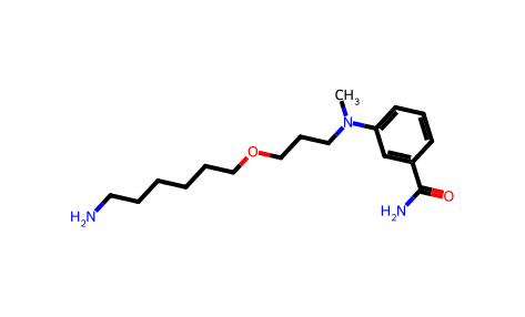 CN(CCCOCCCCCCN)c1cccc(C(N)=O)c1